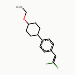 CCCCCCCCCCCOC1CCC(c2ccc(C=C(F)F)cc2)CC1